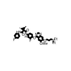 CCN(CC)CCCOc1cc2ncnc(Oc3ccc(NC(=O)C4(C(=O)Nc5ccc(F)cc5)[C@H](C)[C@H]4C)cc3F)c2cc1OC